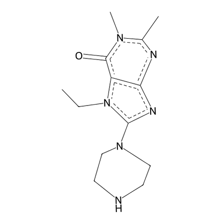 CCn1c(N2CCNCC2)nc2nc(C)n(C)c(=O)c21